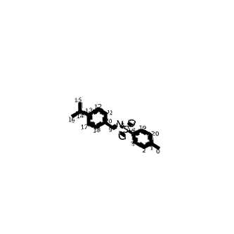 Cc1ccc(S(=O)(=O)N=Cc2ccc(C(C)C)cc2)cc1